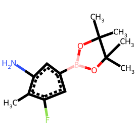 Cc1c(N)cc(B2OC(C)(C)C(C)(C)O2)cc1F